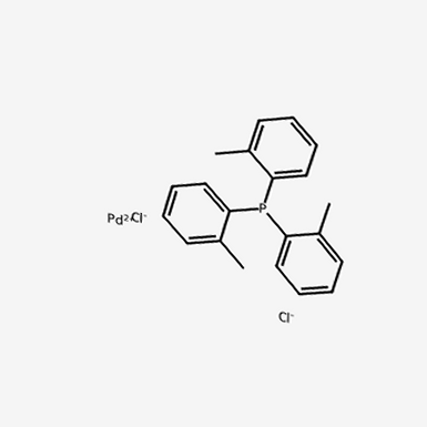 Cc1ccccc1P(c1ccccc1C)c1ccccc1C.[Cl-].[Cl-].[Pd+2]